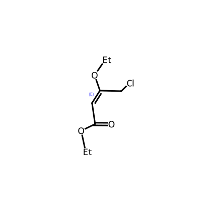 CCOC(=O)/C=C(\CCl)OCC